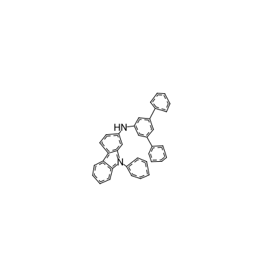 c1ccc(-c2cc(Nc3ccc4c5ccccc5n(-c5ccccc5)c4c3)cc(-c3ccccc3)c2)cc1